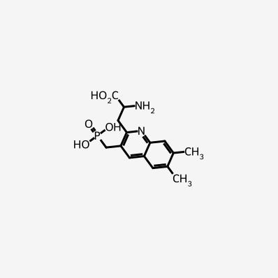 Cc1cc2cc(CP(=O)(O)O)c(CC(N)C(=O)O)nc2cc1C